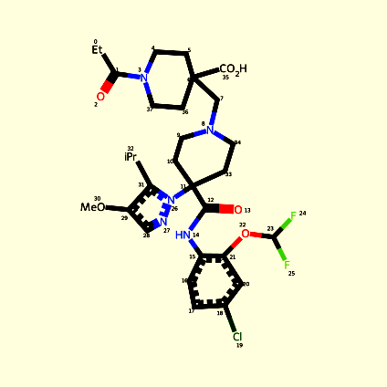 CCC(=O)N1CCC(CN2CCC(C(=O)Nc3ccc(Cl)cc3OC(F)F)(n3ncc(OC)c3C(C)C)CC2)(C(=O)O)CC1